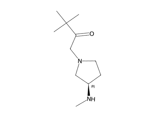 CN[C@@H]1CCN(CC(=O)C(C)(C)C)C1